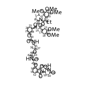 CC[C@H](C(=O)N1CCCC[C@H]1C(=O)O[C@H](CCc1ccc(OC)c(OC)c1)c1cccc(OCC(=O)NCCC(C)(C)OCC(C)(C)NC(=O)COc2cccc3c2C(=O)N(C2CCC(=O)NC2=O)C3=O)c1)c1cc(OC)c(OC)c(OC)c1